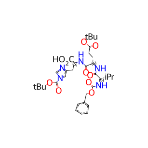 CC(C)[C@H](NC(=O)OCc1ccccc1)C(=O)N[C@@H](CCC(=O)OC(C)(C)C)C(=O)N[C@@H](Cc1cn(C(=O)OC(C)(C)C)cn1)C(=O)O